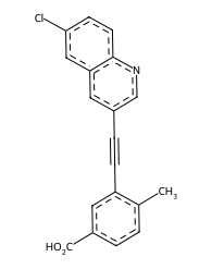 Cc1ccc(C(=O)O)cc1C#Cc1cnc2ccc(Cl)cc2c1